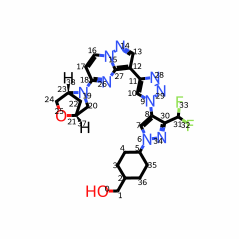 OCC1CCC(n2cc(-n3cc(-c4cnn5ccc(N6C[C@H]7C[C@@H]6CO7)nc45)nn3)c(C(F)F)n2)CC1